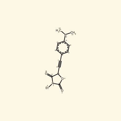 CCN1C(=O)OC(C#Cc2ccc(N(C)C)cc2)C1=O